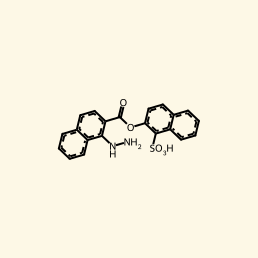 NNc1c(C(=O)Oc2ccc3ccccc3c2S(=O)(=O)O)ccc2ccccc12